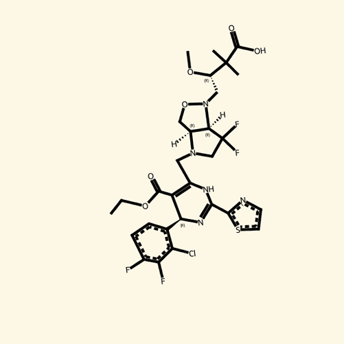 CCOC(=O)C1=C(CN2CC(F)(F)[C@H]3[C@@H]2CON3C[C@H](OC)C(C)(C)C(=O)O)NC(c2nccs2)=N[C@H]1c1ccc(F)c(F)c1Cl